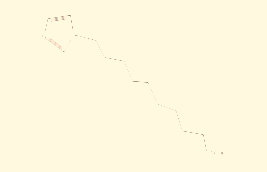 CCCCCCCCCCCCCCCCCCN1C=C[N+]=C1.[Cl-]